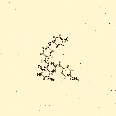 CN1CCC(Nc2nc(Nc3ccc(Oc4ccc(Cl)cc4)cc3)c3c(=O)[nH]cc(Br)c3n2)CC1